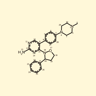 CN1CCN(c2ccc(-c3cnc(N)nc3N3OCCC3c3ccccc3)cc2)CC1